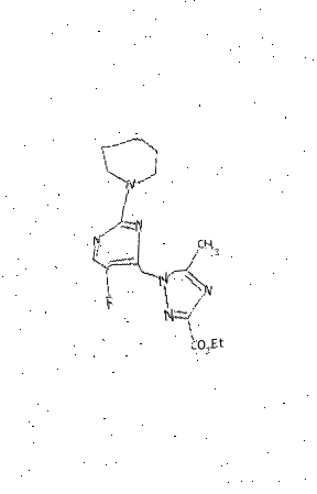 CCOC(=O)c1nc(C)n(-c2nc(N3CCCCC3)ncc2F)n1